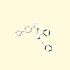 CNC(C(=O)CN(C(=O)OCc1ccccc1)c1ccccc1)C1CCN(C2CCCC2)CC1